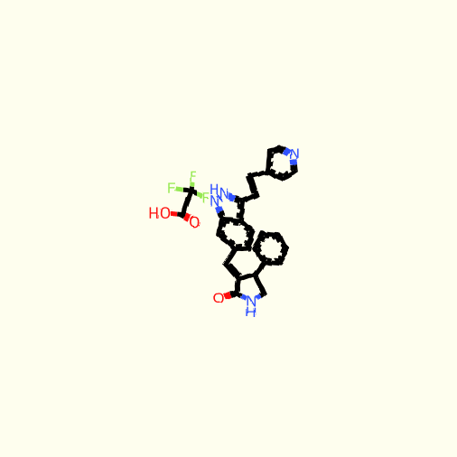 O=C(O)C(F)(F)F.O=C1NCC(c2ccccc2)/C1=C\c1ccc2c(/C=C/c3ccncc3)n[nH]c2c1